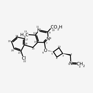 C=NC[C@H]1C[C@H](Oc2nc(C(=O)O)nc(C)c2Cc2ccccc2Cl)C1